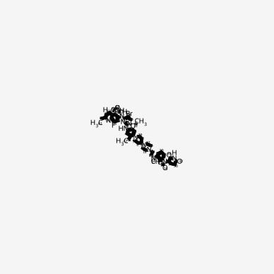 CCOc1cc(N2CCC(N3CCN(CCN(C)c4cccc5c4oc(=O)n5C4CCC(=O)NC4=O)CC3)CC2)c(CC)cc1Nc1ncc(Br)c(Nc2cc(F)c3nc(CC)ccc3c2P(C)(C)=O)n1